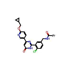 CC(C)C(=O)NCc1ccc(Cl)c(-c2nc(-c3ccc(OCC4CC4)nc3)cc(=O)[nH]2)c1